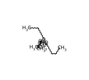 CCCCC/C=C\C/C=C\CCCCCCCC(=O)O[C@H](COCCCCCCCC/C=C\CCCCCC)COP(=O)([O-])OCC[N+](C)(C)C